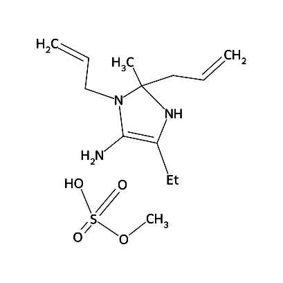 C=CCN1C(N)=C(CC)NC1(C)CC=C.COS(=O)(=O)O